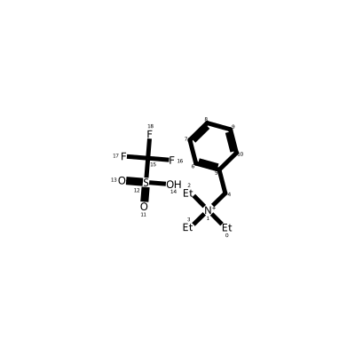 CC[N+](CC)(CC)Cc1ccccc1.O=S(=O)(O)C(F)(F)F